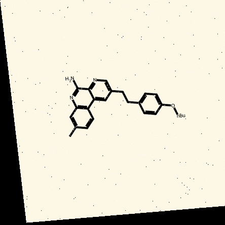 CCCCOc1ccc(CCc2cnc3c(N)nc4cc(C)ccc4c3c2)cc1